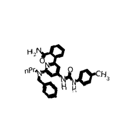 CCCN(Cc1ccccc1)c1cc(NC(=O)Nc2ccc(C)cc2)cc(-c2ccccc2C(N)=O)n1